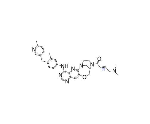 Cc1ccc(Cc2ccc(Nc3ncnc4cc5c(nc34)N3CCN(C(=O)/C=C/CN(C)C)C(CO5)C3)cc2C)cn1